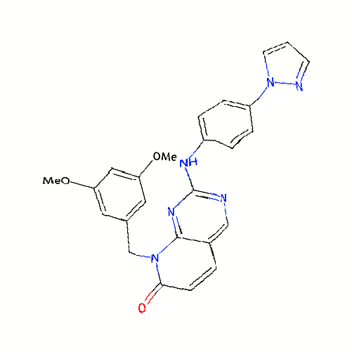 COc1cc(Cn2c(=O)ccc3cnc(Nc4ccc(-n5cccn5)cc4)nc32)cc(OC)c1